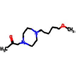 COCCCCN1CCN(CC(C)=O)CC1